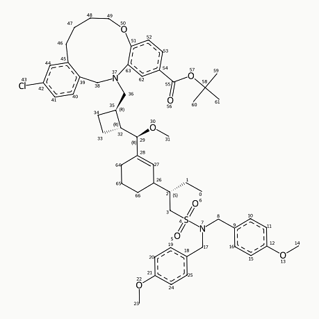 CC[C@H](CS(=O)(=O)N(Cc1ccc(OC)cc1)Cc1ccc(OC)cc1)C1C=C([C@H](OC)[C@@H]2CC[C@H]2CN2Cc3ccc(Cl)cc3CCCCOc3ccc(C(=O)OC(C)(C)C)cc32)CCC1